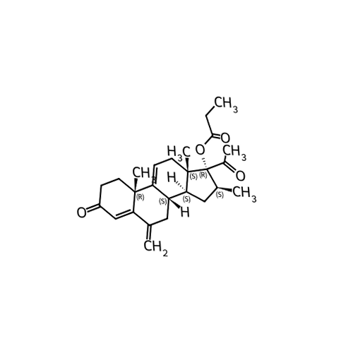 C=C1C[C@@H]2C(=CC[C@@]3(C)[C@H]2C[C@H](C)[C@]3(OC(=O)CC)C(C)=O)[C@@]2(C)CCC(=O)C=C12